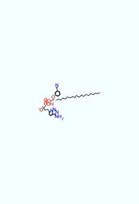 CCCCCCCCCCCCCCCCCCCC[C@H](COP(=O)(O)OC[C@](C)(CCc1ccc2c(N)ncnn12)OC)Oc1cccc(C#N)c1